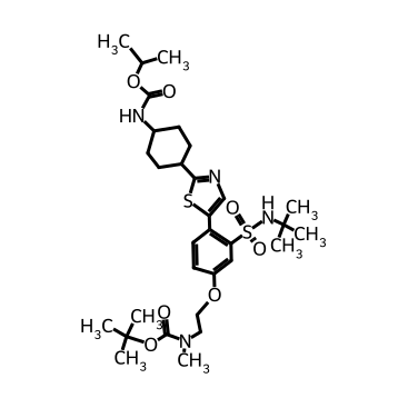 CC(C)OC(=O)NC1CCC(c2ncc(-c3ccc(OCCN(C)C(=O)OC(C)(C)C)cc3S(=O)(=O)NC(C)(C)C)s2)CC1